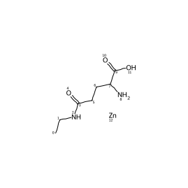 CCNC(=O)CCC(N)C(=O)O.[Zn]